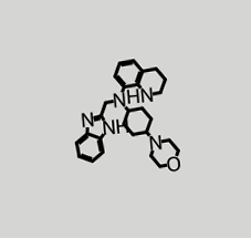 c1cc2c(c(N(Cc3nc4ccccc4[nH]3)C3CCC(N4CCOCC4)CC3)c1)NCCC2